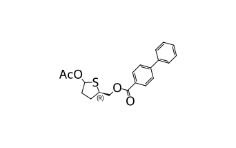 CC(=O)OC1CC[C@H](COC(=O)c2ccc(-c3ccccc3)cc2)S1